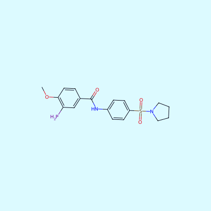 COc1ccc(C(=O)Nc2ccc(S(=O)(=O)N3CCCC3)cc2)cc1P